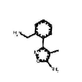 Cc1c(-c2ccccc2CN)noc1N